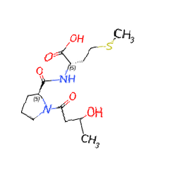 CSCC[C@H](NC(=O)[C@@H]1CCCN1C(=O)CC(C)O)C(=O)O